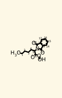 CCCCCC(C(=O)OO)N1C(=O)c2ccccc2C1=O